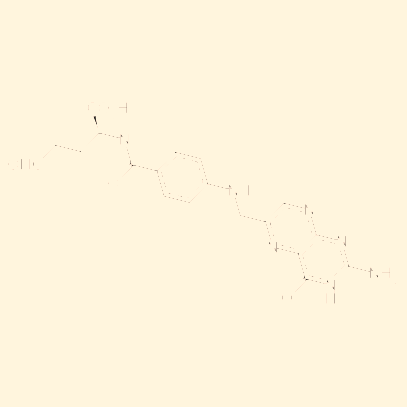 Nc1nc2ncc(CNc3ccc(C(=O)N[C@@H](CCC=O)C(=O)O)cc3)nc2c(=O)[nH]1